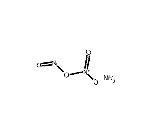 N.O=NO[N+](=O)[O-]